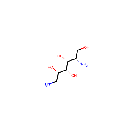 NC[C@H](O)[C@@H](O)[C@H](O)[C@@H](N)CO